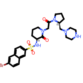 O=C1[C@@H](NS(=O)(=O)c2ccc3cc(Br)ccc3c2)CCCN1CC(=O)N1CCC[C@H]1CN1CCNCC1